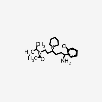 CC(=O)N(CCC(CCC(N)c1ccccc1Cl)N1CCCCC1)C(C)C